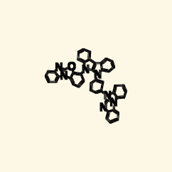 c1cc(-n2c3ccccc3c3c4ccccc4n(-c4cccc5c4oc4nc6ccccc6n45)c32)cc(-n2c3ccccc3n3c4ccccc4nc23)c1